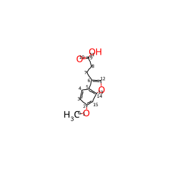 COc1ccc2c(CCC(=O)O)coc2c1